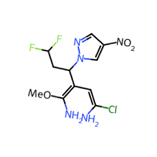 CO/C(N)=C(/C=C(\N)Cl)C(CC(F)F)n1cc([N+](=O)[O-])cn1